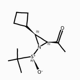 CC(=O)[C@@H]1[C@H](C2CCC2)N1[S@@+]([O-])C(C)(C)C